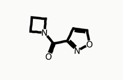 O=C(c1ccon1)N1CCC1